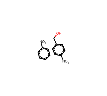 O=[N+]([O-])c1ccc(CO)cc1.O=[N+]([O-])c1ccccc1